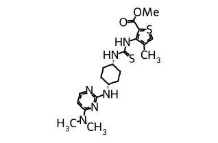 COC(=O)c1scc(C)c1NC(=S)N[C@H]1CC[C@@H](Nc2nccc(N(C)C)n2)CC1